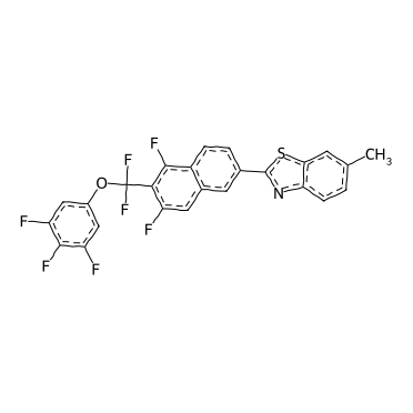 Cc1ccc2nc(-c3ccc4c(F)c(C(F)(F)Oc5cc(F)c(F)c(F)c5)c(F)cc4c3)sc2c1